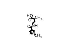 C[C@H](CCNC(=O)c1ccn(C)c1)C(=O)O